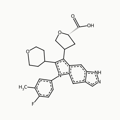 Cc1cc(-n2c(C3CCOCC3)c(C3CO[C@H](C(=O)O)C3)c3cc4[nH]ncc4cc32)ccc1F